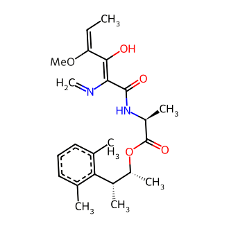 C=N/C(C(=O)N[C@@H](C)C(=O)O[C@H](C)[C@H](C)c1c(C)cccc1C)=C(O)\C(=C/C)OC